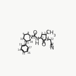 CC1CC(NC(=O)N2CCC[C@H](c3ccccc3)C2)C(=O)N1CC#N